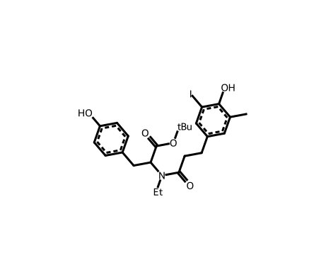 CCN(C(=O)CCc1cc(C)c(O)c(I)c1)C(Cc1ccc(O)cc1)C(=O)OC(C)(C)C